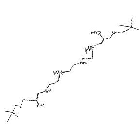 CC(C)(C)COCC(O)CNCCNCCNCCNCC(O)COCC(C)(C)C